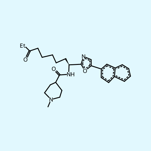 CCC(=O)CCCCC[C@H](NC(=O)C1CCN(C)CC1)c1ncc(-c2ccc3ccccc3c2)o1